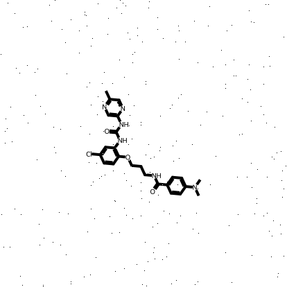 Cc1cnc(NC(=O)Nc2cc(Cl)ccc2OCCCNC(=O)c2ccc(N(C)C)cc2)cn1